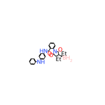 BC(CC)(CC)C1CC(=O)N(c2ccccc2C(=O)Nc2ccc(Nc3ccccc3)cc2)C1=O